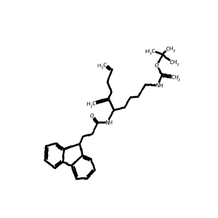 C=CCCC(=C)C(CCCCNC(=C)OC(C)(C)C)NC(=O)CCC1c2ccccc2-c2ccccc21